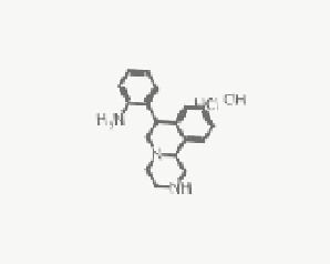 Cl.Cl.Nc1ccccc1C1CN2CCNCC2c2ccccc21